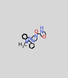 Cn1c(C2(N3CCN(C(=O)C4COCCN4)CC3)C=CC=CC2)nc2ccccc21